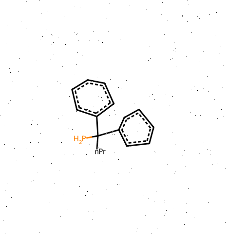 CCCC(P)(c1ccccc1)c1ccccc1